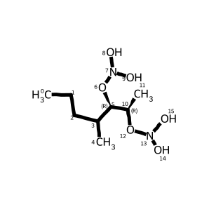 CCCC(C)[C@@H](ON(O)O)[C@@H](C)ON(O)O